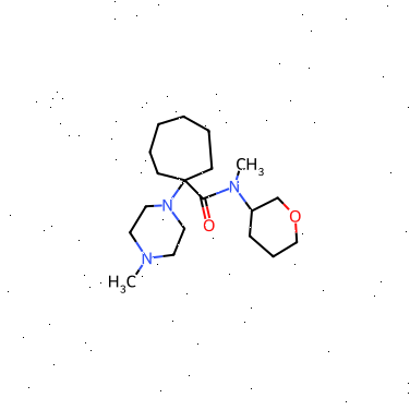 CN1CCN(C2(C(=O)N(C)C3CCCOC3)CCCCCC2)CC1